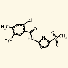 Cc1cc(Cl)c(C(=O)Nc2nc(S(C)(=O)=O)cs2)cc1C